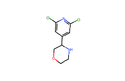 Clc1cc(C2COCCN2)cc(Cl)n1